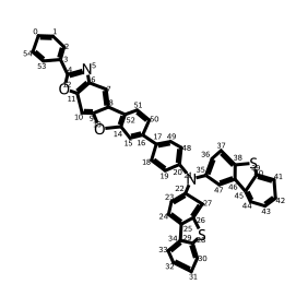 c1ccc(-c2nc3cc4c(cc3o2)oc2cc(-c3ccc(N(c5ccc6c(c5)sc5ccccc56)c5ccc6sc7ccccc7c6c5)cc3)ccc24)cc1